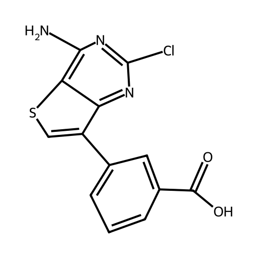 Nc1nc(Cl)nc2c(-c3cccc(C(=O)O)c3)csc12